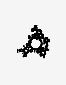 CC[C@H]1OC(=O)[C@H](C)[C@@H](O[C@H]2C[C@@](C)(OC)[C@@H](O)[C@H](C)O2)[C@H](C)[C@@H](O[C@@H]2O[C@H](C)C[C@H](N(C)CCc3cn([C@H](CN)Cc4ccc([N+](=O)[O-])cc4)nn3)[C@H]2O)[C@](C)(O)C[C@@H](C)CN(C)[C@H](C)[C@@H](O)[C@]1(C)O